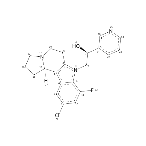 O[C@H](Cn1c2c(c3cc(Cl)cc(F)c31)[C@H]1CCCN1CC2)c1cccnc1